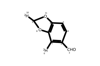 [2H]c1c(C=O)ccc2c1OC([2H])O2